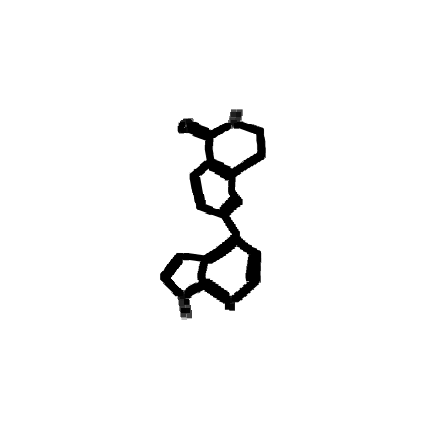 O=C1NCCc2cc(-c3ccnc4[nH]ccc34)ccc21